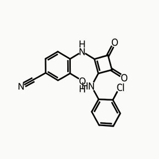 N#Cc1ccc(Nc2c(Nc3ccccc3Cl)c(=O)c2=O)c(O)c1